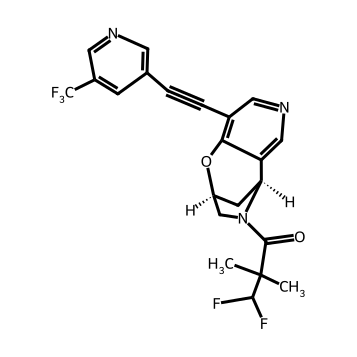 CC(C)(C(=O)N1C[C@@H]2C[C@H]1c1cncc(C#Cc3cncc(C(F)(F)F)c3)c1O2)C(F)F